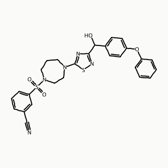 N#Cc1cccc(S(=O)(=O)N2CCCN(c3nc(C(O)c4ccc(Oc5ccccc5)cc4)ns3)CC2)c1